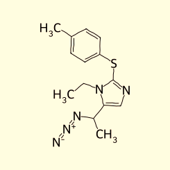 CCn1c(C(C)N=[N+]=[N-])cnc1Sc1ccc(C)cc1